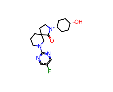 O=C1N([C@H]2CC[C@@H](O)CC2)CCC12CCCN(c1ncc(F)cn1)C2